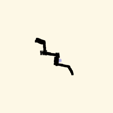 C=CN/N=C/CC